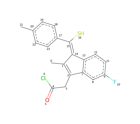 CC1=C(CC(=O)Cl)c2cc(F)ccc2/C1=C(\S)c1ccc(C)cc1